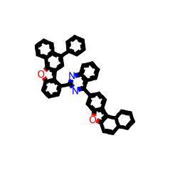 C1=CC2C=Cc3oc4cc(-c5nc(-c6cccc7oc8c9ccccc9c(-c9ccccc9)cc8c67)nc6ccccc56)ccc4c3C2C=C1